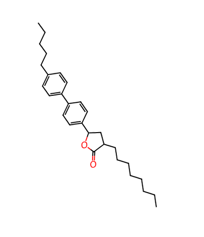 CCCCCCCCC1CC(c2ccc(-c3ccc(CCCCC)cc3)cc2)OC1=O